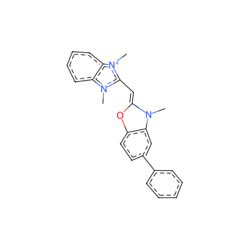 CN1C(=Cc2n(C)c3ccccc3[n+]2C)Oc2ccc(-c3ccccc3)cc21